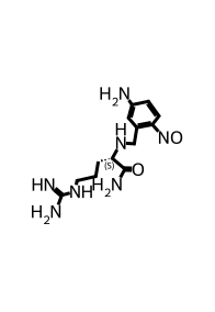 N=C(N)NCCC[C@H](NCc1cc(N)ccc1N=O)C(N)=O